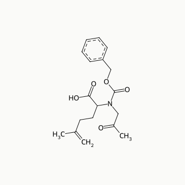 C=C(C)CCC(C(=O)O)N(CC(C)=O)C(=O)OCc1ccccc1